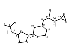 CC(C)NC1CCN(C2CCCC(CC(C)NC3CC3)C2)C1